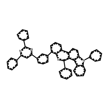 c1ccc(-c2cc(-c3cccc(-c4cccc5c4nc(-c4ccccc4)c4c5ccc5c4c4ccccc4n5-c4ccccc4)c3)nc(-c3ccccc3)n2)cc1